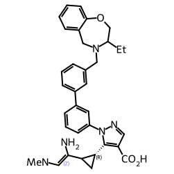 CCC1COc2ccccc2CN1Cc1cccc(-c2cccc(-n3ncc(C(=O)O)c3[C@@H]3CC3/C(N)=C/NC)c2)c1